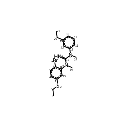 CCSc1ccc(Br)c(N(C)C(=N)N(C)c2cccc(CC)c2)c1